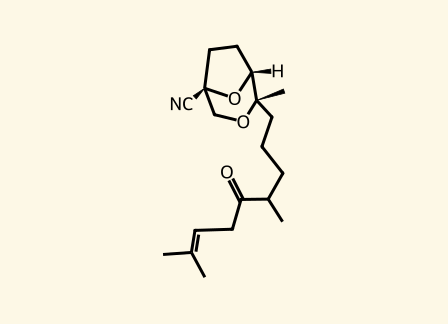 CC(C)=CCC(=O)C(C)CCC[C@]1(C)OC[C@]2(C#N)CC[C@H]1O2